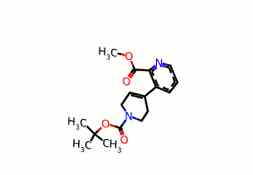 COC(=O)c1ncccc1C1=CCN(C(=O)OC(C)(C)C)CC1